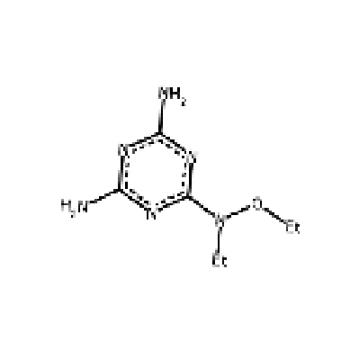 CCON(CC)c1nc(N)nc(N)n1